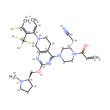 C=CC(=O)N1CCN(c2nc(OC[C@H]3CCCN3C)nc3c2CCN(C(=C/C)/C(=C(\C)F)C(F)(F)F)C3)C[C@@H]1CC#N